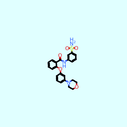 NS(=O)(=O)c1cccc(NC(=O)c2ccccc2Oc2cccc(N3CCOCC3)c2)c1